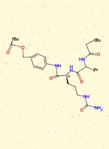 CC(C)C(NC(=O)CC(C)(C)C)C(=O)N[C@@H](CCCNC(N)=O)C(=O)Nc1ccc(COC(=O)C(C)(C)C)cc1